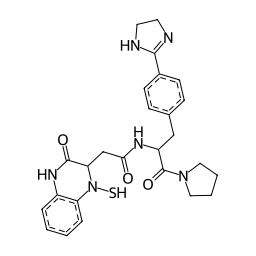 O=C(CC1C(=O)Nc2ccccc2N1S)NC(Cc1ccc(C2=NCCN2)cc1)C(=O)N1CCCC1